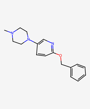 CN1CCN(c2ccc(OCc3ccccc3)nc2)CC1